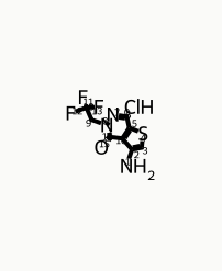 Cl.Nc1csc2cnn(CC(F)(F)F)c(=O)c12